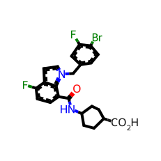 O=C(NC1CCC(C(=O)O)CC1)c1ccc(F)c2ccn(Cc3ccc(Br)c(F)c3)c12